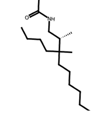 CCCCCCC(C)(CCCC)[C@@H](C)CNC(C)=O